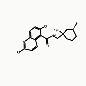 C[C@H]1CCC[C@](O)(CNC(=O)c2c(Cl)ccc3nc(Cl)ccc23)C1